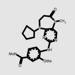 CNC(=O)c1ccc(Nc2ncc3c(n2)N(C2CCCC2)CCC(=O)N3C)c(OC)c1